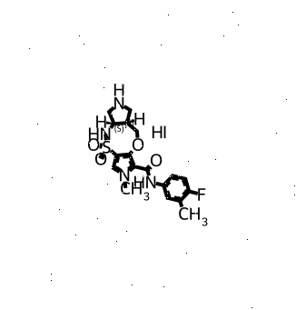 Cc1cc(NC(=O)c2c3c(cn2C)S(=O)(=O)N[C@@H]2CNC[C@@H]2CO3)ccc1F.I